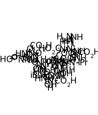 CC[C@H](C)[C@H](NC(=O)[C@H](Cc1ccccc1)NC(=O)[C@@H](NC(=O)CNC(=O)[C@H](CCC(=O)O)NC(=O)C(C)(C)NC(=O)[C@H](Cc1ccc(O)cc1)NC)[C@@H](C)O)C(=O)N[C@@H](CO)C(=O)N[C@@H](CC(=O)O)C(=O)N[C@@H](Cc1ccc(O)cc1)C(=O)N[C@@H](CO)C(=O)N[C@H](C(=O)NC(C)(C)C(=O)N[C@@H](CC(C)C)C(=O)N[C@@H](CC(=O)O)C(=O)N[C@@H](CCCNC(=N)N)C(=O)NC(C)(C)C(=O)N[C@@H](CCCCN)C(=O)O)[C@@H](C)CC